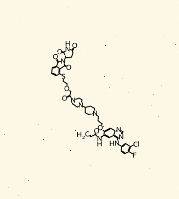 C=CC(=O)Nc1cc2c(Nc3ccc(F)c(Cl)c3)ncnc2cc1OCCCN1CCC(N2CCN(C(=O)COCCSc3cccc4c3C(=O)N(C3CCC(=O)NC3=O)C4=O)CC2)CC1